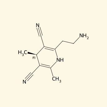 CC1=C(C#N)[C@@H](C)C(C#N)=C(CCN)N1